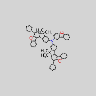 CC1(C)c2cc(N(c3ccc4c(c3)C(C)(C)c3cc(-c5ccccc5)c5oc6ccccc6c5c3-4)c3ccc4oc5ccccc5c4c3)ccc2-c2c1cc(-c1ccccc1)c1oc3ccccc3c21